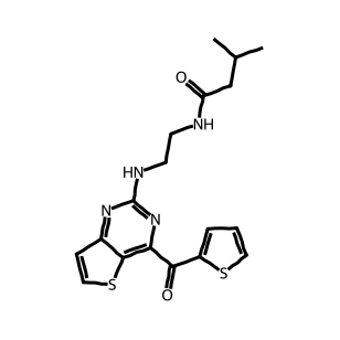 CC(C)CC(=O)NCCNc1nc(C(=O)c2cccs2)c2sccc2n1